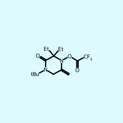 C=C1CN(C(C)(C)C)C(=O)C(CC)(CC)N1OC(=O)C(F)(F)F